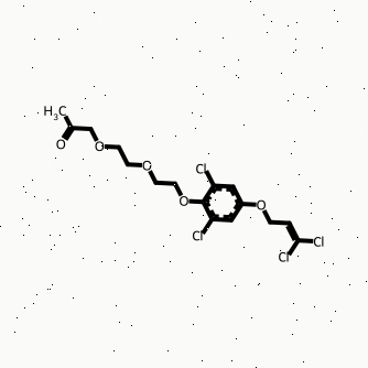 CC(=O)COCCOCCOc1c(Cl)cc(OCC=C(Cl)Cl)cc1Cl